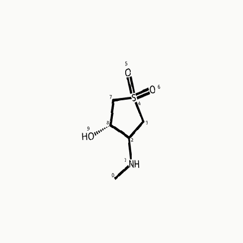 CNC1CS(=O)(=O)C[C@H]1O